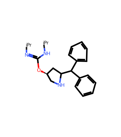 CC(C)/N=C(\NC(C)C)O[C@@H]1CNC(C(c2ccccc2)c2ccccc2)C1